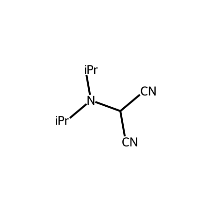 CC(C)N(C(C)C)C(C#N)C#N